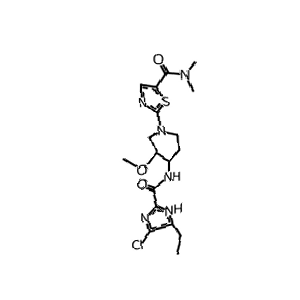 CCc1[nH]c(C(=O)NC2CCN(c3ncc(C(=O)N(C)C)s3)CC2OC)nc1Cl